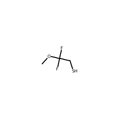 COC(F)(F)CS